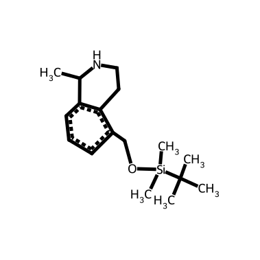 CC1NCCc2c(CO[Si](C)(C)C(C)(C)C)cccc21